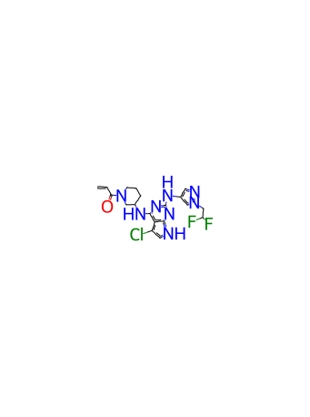 C=CC(=O)N1CCCC(Nc2nc(Nc3cnn(CC(F)F)c3)nc3[nH]cc(Cl)c23)C1